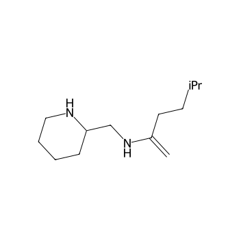 C=C(CCC(C)C)NCC1CCCCN1